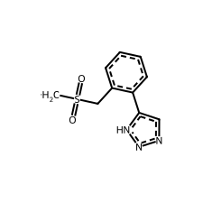 [CH2]S(=O)(=O)Cc1ccccc1-c1cnn[nH]1